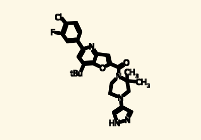 CC(C)(C)c1cc(-c2ccc(Cl)c(F)c2)nc2cc(C(=O)N3CCN(c4cn[nH]c4)CC3(C)C)oc12